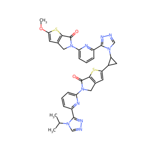 COc1cc2c(s1)C(=O)N(c1cccc(-c3nncn3C3CC3c3cc4c(s3)C(=O)N(c3cccc(-c5nncn5C(C)C)n3)C4)n1)C2